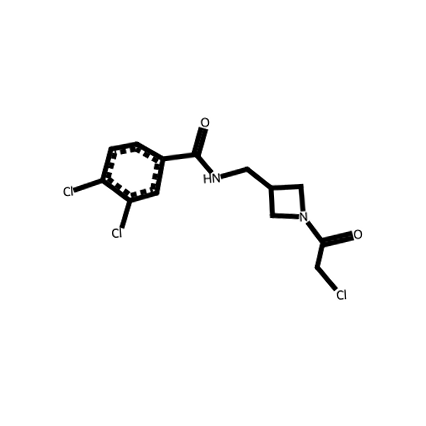 O=C(NCC1CN(C(=O)CCl)C1)c1ccc(Cl)c(Cl)c1